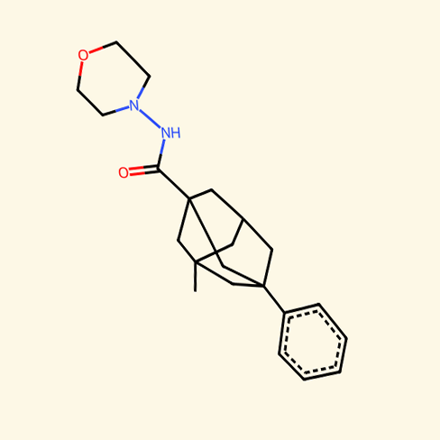 CC12CC3CC(C(=O)NN4CCOCC4)(C1)CC(c1ccccc1)(C3)C2